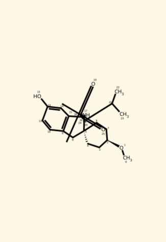 CO[C@H]1CC[C@]2(CC1)Cc1ccc(O)cc1C21NC(=O)N(C(C)C)C1=O